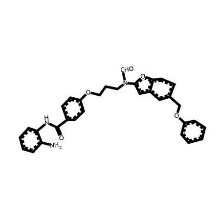 Nc1ccccc1NC(=O)c1ccc(OCCCN(C=O)c2cc3cc(COc4ccccc4)ccc3o2)cc1